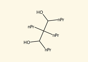 CCCC(O)C(CCC)(CCC)C(O)CCC